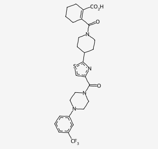 O=C(O)C1=C(C(=O)N2CCC(c3nc(C(=O)N4CCN(c5cccc(C(F)(F)F)c5)CC4)cs3)CC2)CCCC1